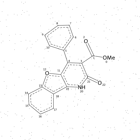 COC(=O)c1c(-c2ccccc2)c2oc3ccccc3c2[nH]c1=O